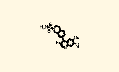 COc1cc2ncc(F)c(-c3ccc4c(c3)CN(S(N)(=O)=O)CC4)c2cc1OC